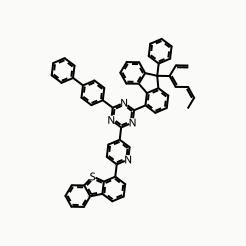 C=C/C(=C\C=C/C)C1(c2ccccc2)c2ccccc2-c2c(-c3nc(-c4ccc(-c5ccccc5)cc4)nc(-c4ccc(-c5cccc6c5sc5ccccc56)nc4)n3)cccc21